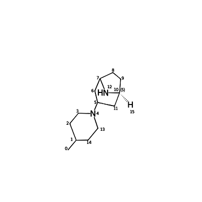 CC1CCN(C2CC3CC[C@@H](C2)N3)CC1